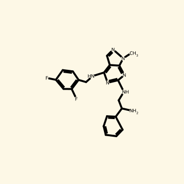 Cn1ncc2c(NCc3ccc(F)cc3F)nc(NCC(N)c3ccccc3)nc21